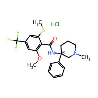 COc1cc(C(F)(F)F)cc(SC)c1C(=O)N[C@@]1(c2ccccc2)CCCN(C)C1.Cl